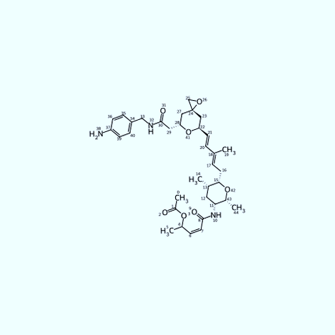 CC(=O)OC(C)/C=C\C(=O)N[C@@H]1C[C@H](C)[C@H](C/C=C(C)/C=C/[C@@H]2C[C@]3(CO3)C[C@@H](CC(=O)NCc3ccc(N)cc3)O2)O[C@@H]1C